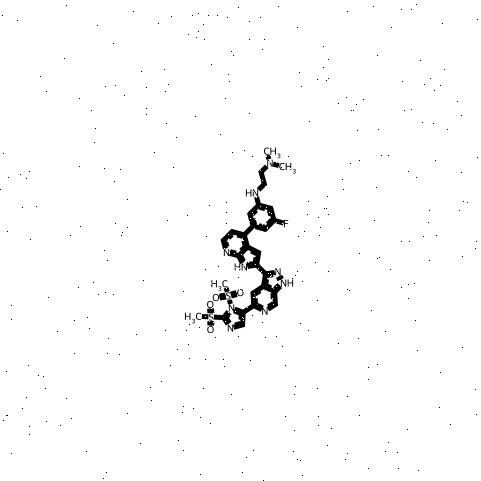 CN(C)CCNc1cc(F)cc(-c2ccnc3[nH]c(-c4n[nH]c5cnc(-c6cnc(S(C)(=O)=O)n6S(C)(=O)=O)cc45)cc23)c1